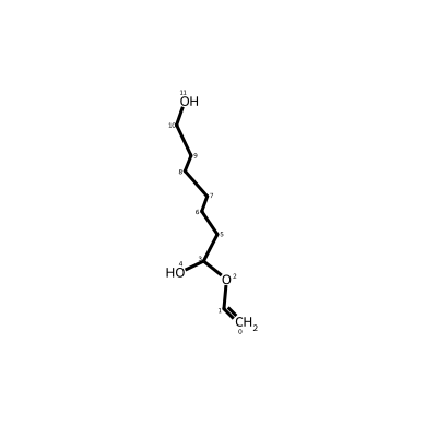 C=COC(O)CCCCCCO